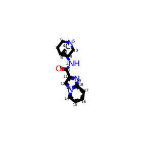 O=C(NC1CN2CCC1CC2)c1cn2ccccc2n1